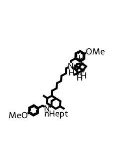 CCCCCCCN(Cc1ccc(OC)cc1)C12CC(C)CC(C1)C(CCCCCCCN(Cc1ccc(OC)cc1)[C@@H]1C[C@@H]3C[C@H]([C@H]1C)C3(C)C)C(C)C2